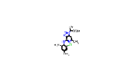 CCCC(OC)n1nnc2c(Nc3c(C)cc(C)cc3Cl)nc(C)cc21